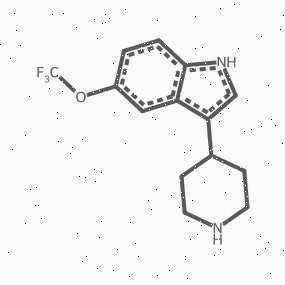 FC(F)(F)Oc1ccc2[nH]cc(C3CCNCC3)c2c1